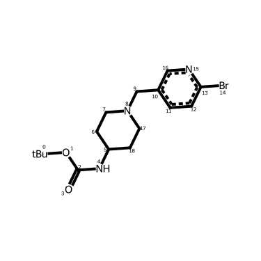 CC(C)(C)OC(=O)NC1CCN(Cc2ccc(Br)nc2)CC1